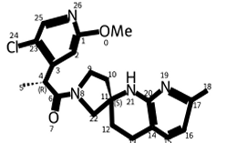 COc1cc([C@@H](C)C(=O)N2CC[C@@]3(CCc4ccc(C)nc4N3)C2)c(Cl)cn1